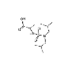 CC(C)CN(CC(C)C)S(=O)(=O)NC(C)C(=O)O